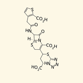 O=C(O)CCC(Sc1nnn[nH]1)C1=C(C(=O)O)N2C(=O)C(NC(=O)Cc3ccsc3C(=O)O)[C@@H]2SC1